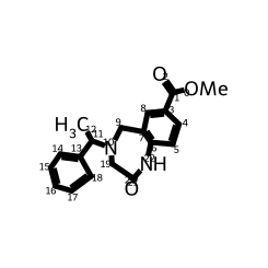 COC(=O)c1ccc2c(c1)CN(C(C)c1ccccc1)CC(=O)N2